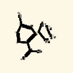 FC(F)(F)CCl.NN.O=C(Cl)c1ccc(Cl)cc1